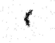 CCOC(=O)Cc1ccc(C(C)(C)c2cccc(-c3ccn(C(C)CC)n3)n2)cn1